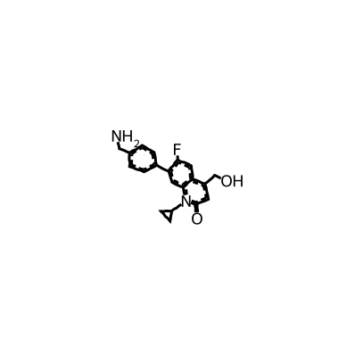 NCc1ccc(-c2cc3c(cc2F)c(CO)cc(=O)n3C2CC2)cc1